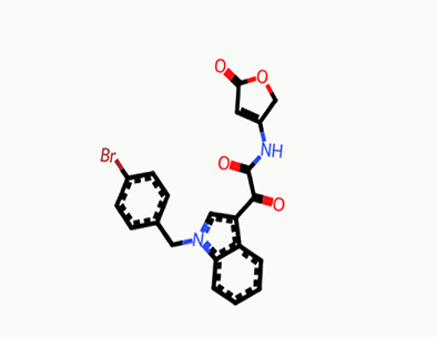 O=C1C=C(NC(=O)C(=O)c2cn(Cc3ccc(Br)cc3)c3ccccc23)CO1